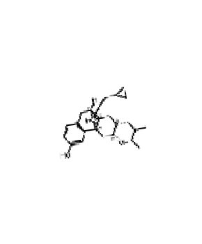 CCC(C)C[C@H]1C[C@@]2(O)[C@H]3Cc4ccc(O)cc4[C@@]2(CCN3CC2CC2)C[C@H]1O